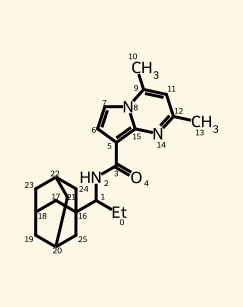 CCC(NC(=O)c1ccn2c(C)cc(C)nc12)C12CC3CC(CC(C3)C1)C2